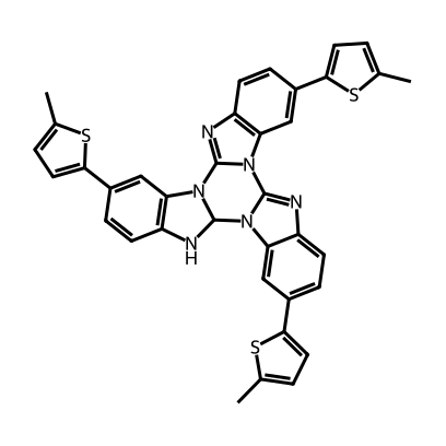 Cc1ccc(-c2ccc3c(c2)N2c4nc5ccc(-c6ccc(C)s6)cc5n4-c4nc5ccc(-c6ccc(C)s6)cc5n4C2N3)s1